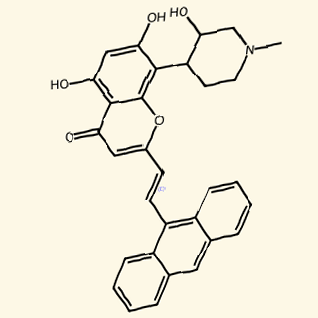 CN1CCC(c2c(O)cc(O)c3c(=O)cc(/C=C/c4c5ccccc5cc5ccccc45)oc23)C(O)C1